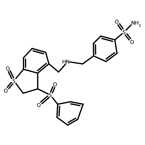 NS(=O)(=O)c1ccc(CNCc2cccc3c2C(S(=O)(=O)c2ccccc2)CS3(=O)=O)cc1